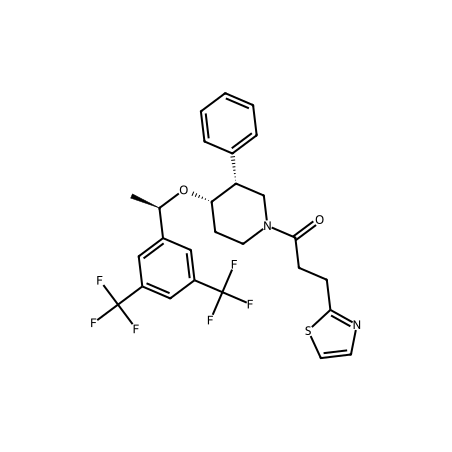 C[C@@H](O[C@H]1CCN(C(=O)CCc2nccs2)C[C@H]1c1ccccc1)c1cc(C(F)(F)F)cc(C(F)(F)F)c1